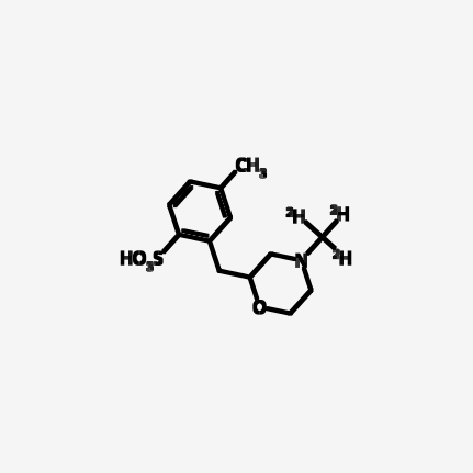 [2H]C([2H])([2H])N1CCOC(Cc2cc(C)ccc2S(=O)(=O)O)C1